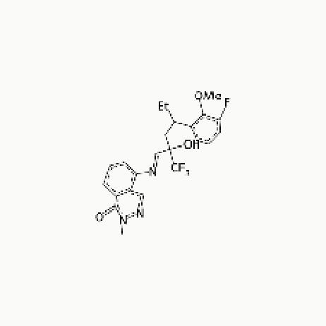 CCC(CC(O)(C=Nc1cccc2c(=O)n(C)ncc12)C(F)(F)F)c1cccc(F)c1OC